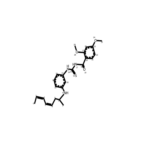 C/C=C\C=C/CC(C)Nc1cccc(NC(=S)NC(=O)c2ccc(OC)cc2OC)c1